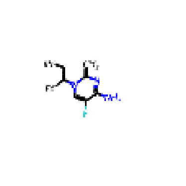 C=C1N=C(N)C(F)=CN1C(CC)CC(C)C